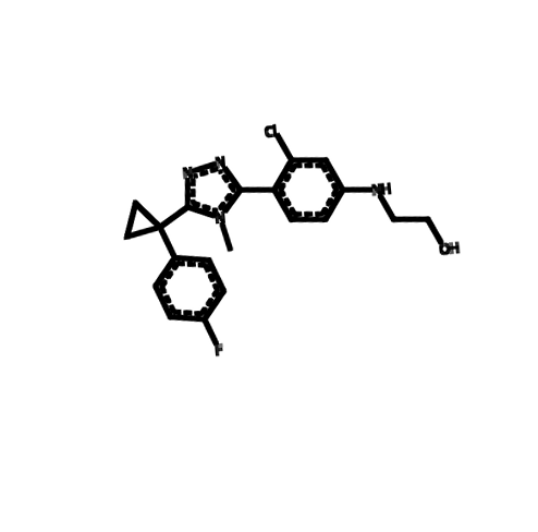 Cn1c(-c2ccc(NCCO)cc2Cl)nnc1C1(c2ccc(F)cc2)CC1